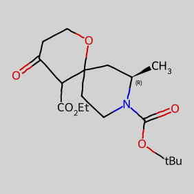 CCOC(=O)C1C(=O)CCOC12CCN(C(=O)OC(C)(C)C)[C@H](C)C2